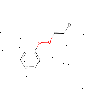 CCC=COOc1ccccc1